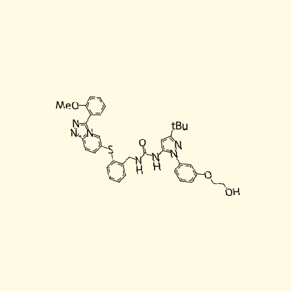 COc1ccccc1-c1nnc2ccc(Sc3ccccc3CNC(=O)Nc3cc(C(C)(C)C)nn3-c3cccc(OCCO)c3)cn12